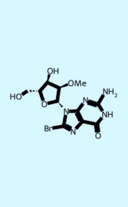 CO[C@@H]1[C@H](O)[C@@H](CO)O[C@H]1n1c(Br)nc2c(=O)[nH]c(N)nc21